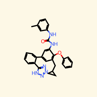 Cc1cccc(NC(=O)Nc2cc(-c3ccccc3-c3nnn[nH]3)cc(CC3CC3)c2Oc2ccccc2)c1